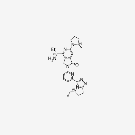 CC[C@@H](N)c1nc(N2CCC[C@H]2C)cc2c1CN(c1cccc(-c3nnc4n3[C@@H](CF)CC4)n1)C2=O